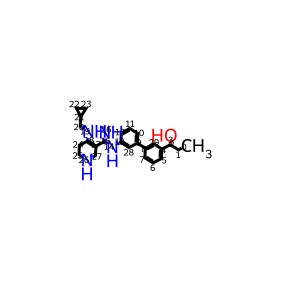 CCC(O)c1cccc(-c2cccc(NC(=N)C3=C(NCC4CC4)CCNC3)c2)c1